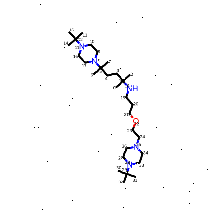 CC(C)(CCC(C)(C)N1CCN(C(C)(C)C)CC1)NCCCOCCN1CCN(C(C)(C)C)CC1